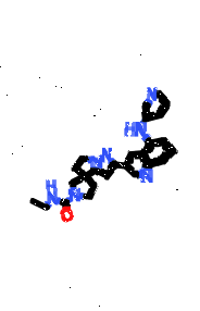 CCNC(=O)N1CCC2(CCn3nc(-c4cnc5cccc(Nc6cccnc6)c5c4)cc32)C1